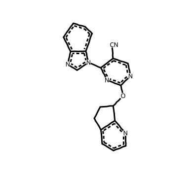 N#Cc1cnc(OC2CCc3cccnc32)nc1-n1cnc2ccccc21